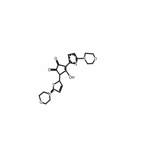 O=C1C(=O)C(C2C=CC(=[N+]3CCOCC3)S2)C(O)=C1c1ccc(N2CCOCC2)s1